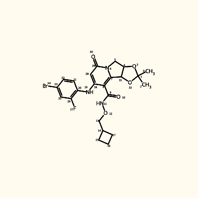 CC1(C)OC2Cn3c(c(C(=O)NOCC4CCC4)c(Nc4ccc(Br)cc4F)cc3=O)C2O1